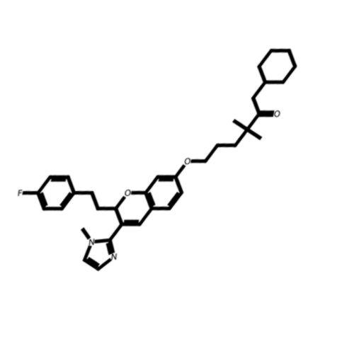 Cn1ccnc1C1=Cc2ccc(OCCCC(C)(C)C(=O)CC3CCCCC3)cc2OC1CCc1ccc(F)cc1